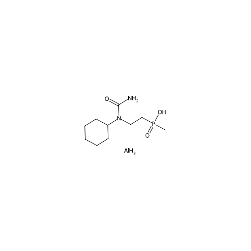 CP(=O)(O)CCN(C(N)=O)C1CCCCC1.[AlH3]